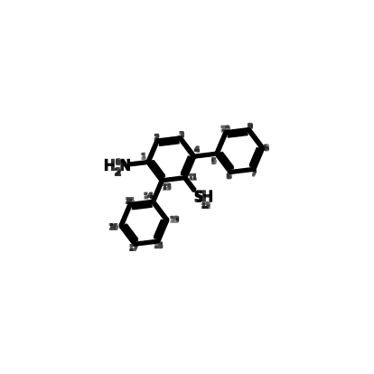 Nc1ccc(-c2ccccc2)c(S)c1-c1ccccc1